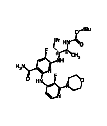 CC(C)C[C@@H](Nc1nc(Nc2ccnc(N3CCOCC3)c2F)c(C(N)=O)cc1F)[C@H](C)NC(=O)OC(C)(C)C